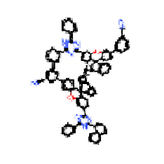 N#Cc1cccc(-c2ccc3c(c2)Oc2cc(-c4nc(-c5ccccc5)nc(-c5cccc(-c6cc(C#N)cc(-c7ccc8c(c7)Oc7cc(-c9nc(-c%10ccccc%10)nc(-c%10cccc%11ccccc%10%11)n9)ccc7C87c8ccccc8-c8ccccc87)c6)c5)n4)ccc2C32c3ccccc3-c3ccccc32)c1